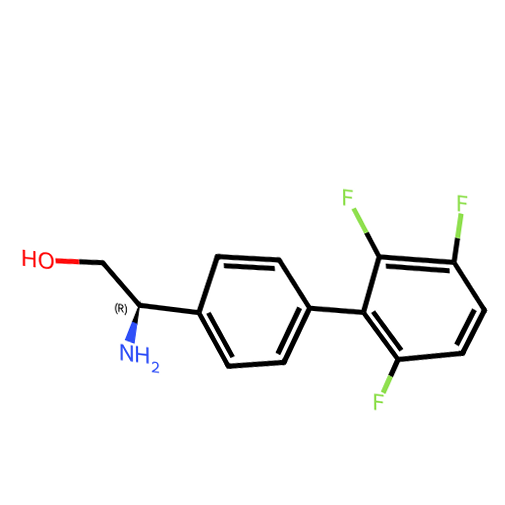 N[C@@H](CO)c1ccc(-c2c(F)ccc(F)c2F)cc1